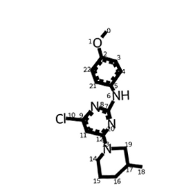 COc1ccc(Nc2nc(Cl)cc(N3CCCC(C)C3)n2)cc1